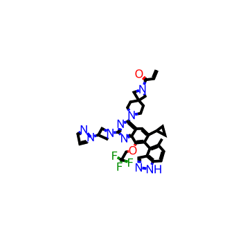 C=CC(=O)N1CC2(CCN(c3nc(N4CC(n5cccn5)C4)nc4c(OCC(F)(F)F)c(-c5c(C)ccc6[nH]ncc56)c(C5CC5)cc34)CC2)C1